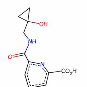 O=C(O)c1cccc(C(=O)NCC2(O)CC2)n1